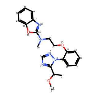 CCOC(C)c1ncnn1-c1ccccc1OCCN(C)c1nc2ccccc2o1